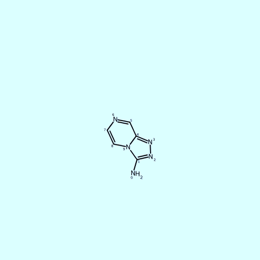 Nc1nnc2cnccn12